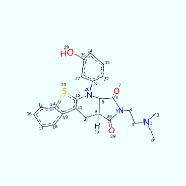 CN(C)CCN1C(=O)C2[C@H](Cc3c(sc4ccccc34)N2c2cccc(O)c2)C1=O